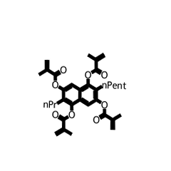 C=C(C)C(=O)Oc1cc2c(OC(=O)C(=C)C)c(CCCCC)c(OC(=O)C(=C)C)cc2c(OC(=O)C(=C)C)c1CCC